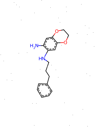 Nc1cc2c(cc1NCCCc1ccccc1)OCCO2